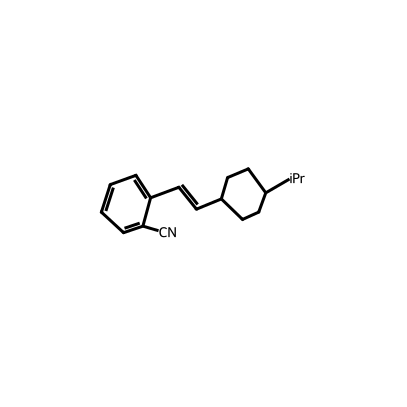 CC(C)C1CCC(/C=C/c2ccccc2C#N)CC1